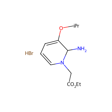 Br.CCOC(=O)CN1C=CC=C(OC(C)C)C1N